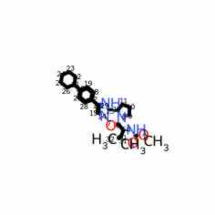 COC(=O)N[C@H](C(=O)N1CCC[C@@H]1c1ncc(-c2ccc(C3CCCCC3)cc2)[nH]1)C(C)C